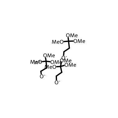 COC(CC[O-])(OC)OC.COC(CC[O-])(OC)OC.COC(CC[O-])(OC)OC.[In+3]